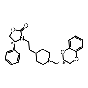 O=C1OC[C@H](c2ccccc2)N1CCC1CCN(C[C@H]2COc3ccccc3O2)CC1